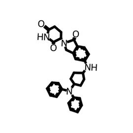 O=C1CCC(N2Cc3cc(NC4CCC(N(c5ccccc5)c5ccccc5)CC4)ccc3C2=O)C(=O)N1